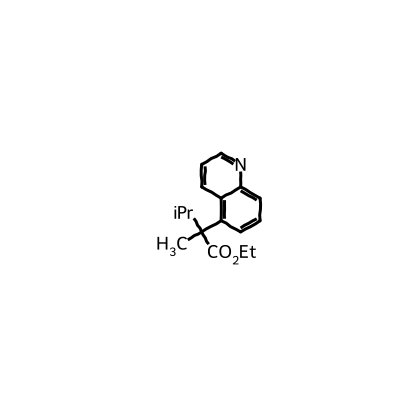 CCOC(=O)C(C)(c1cccc2ncccc12)C(C)C